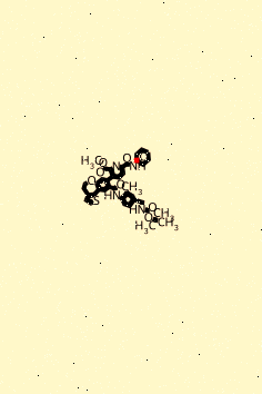 COC(=O)c1nc(C(=O)NC23CCC(CC2)CC3)ccc1-c1cc2c(cc1C(=O)Nc1ccc(CNC(=O)OC(C)(C)C)cc1C)-c1sccc1CCO2